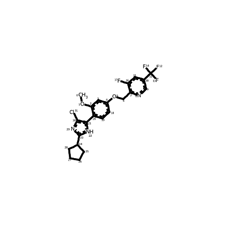 COc1cc(OCc2ncc(C(F)(F)F)cc2F)ccc1-c1[nH]c(C2CCCC2)nc1Cl